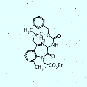 CCOC(=O)CN1C(=O)C(NC(=O)OCc2ccccc2)N=C(CN(C)C)c2cccc(C)c21